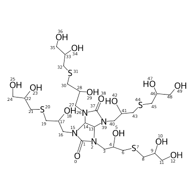 O=C1N(CC(O)CSCC(O)CO)C2C(N1CC(O)CSCC(O)CO)N(CC(O)CSCC(O)CO)C(=O)N2CC(O)CSCC(O)CO